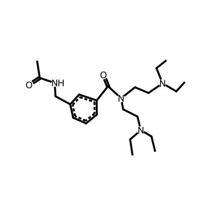 CCN(CC)CCN(CCN(CC)CC)C(=O)c1cccc(CNC(C)=O)c1